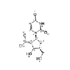 O=c1ccn([C@H]2O[C@@H](CO)C(O)C2=C(Cl)Cl)c(=O)[nH]1